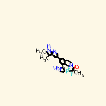 Cc1[nH]c2ncc(-c3cc4c(c([C@@H]5CCCN5)c3)CN(C(=O)[C@@H](C)C(F)(F)F)CC4)cc2c1C